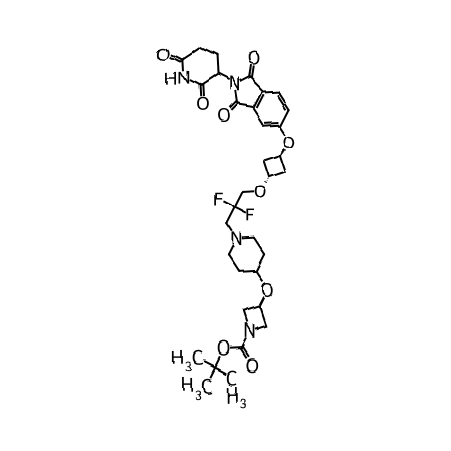 CC(C)(C)OC(=O)N1CC(OC2CCN(CC(F)(F)CO[C@H]3C[C@H](Oc4ccc5c(c4)C(=O)N(C4CCC(=O)NC4=O)C5=O)C3)CC2)C1